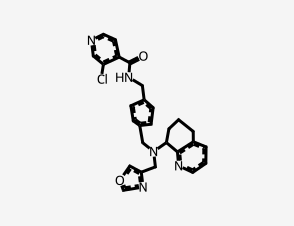 O=C(NCc1ccc(CN(Cc2cocn2)C2CCCc3cccnc32)cc1)c1ccncc1Cl